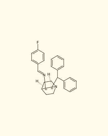 Fc1ccc(C=N[C@@H]2C3CCN(CC3)[C@@H]2C(c2ccccc2)c2ccccc2)cc1